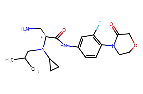 CC(C)CN(C1CC1)[C@H](CN)C(=O)Nc1ccc(N2CCOCC2=O)c(F)c1